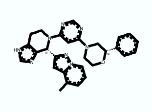 Cc1cccn2nc([C@@H]3c4nc[nH]c4CCN3c3cc(N4CCO[C@@H](c5ccccc5)C4)ncn3)cc12